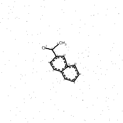 C[C](Cl)c1ccc2ccccc2c1